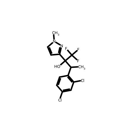 CC(c1ccc(Cl)cc1Cl)C(O)(c1ccn(C)n1)C(F)(F)F